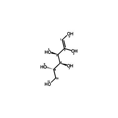 OC=C(O)[C@H](O)[C@@H](O)[C@@H](O)CO